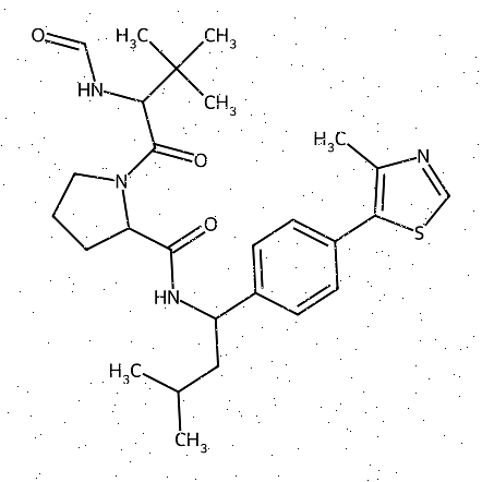 Cc1ncsc1-c1ccc(C(CC(C)C)NC(=O)C2CCCN2C(=O)C(NC=O)C(C)(C)C)cc1